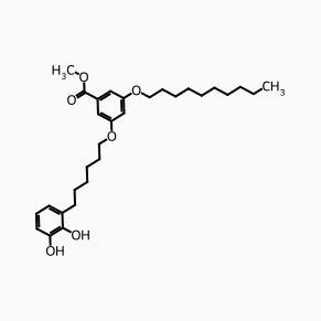 CCCCCCCCCCOc1cc(OCCCCCCc2cccc(O)c2O)cc(C(=O)OC)c1